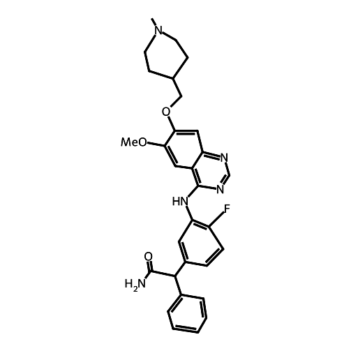 COc1cc2c(Nc3cc(C(C(N)=O)c4ccccc4)ccc3F)ncnc2cc1OCC1CCN(C)CC1